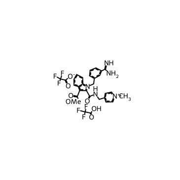 COC(=O)c1c(C(=O)NCc2cc[n+](C)cc2)n(Cc2cccc(C(=N)N)c2)c2ccccc12.O=C(O)C(F)(F)F.O=C([O-])C(F)(F)F